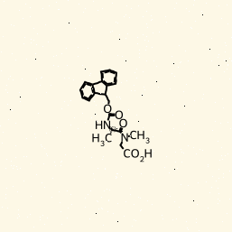 C[C@H](NC(=O)OCC1c2ccccc2-c2ccccc21)C(=O)N(C)CC(=O)O